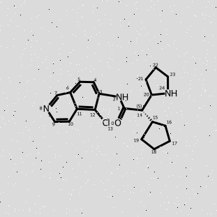 O=C(Nc1ccc2cnccc2c1Cl)[C@@H](C1CCCC1)C1CCCN1